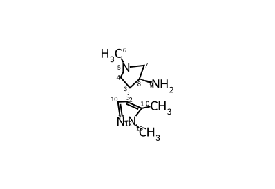 Cc1c([C@@H]2CN(C)C[C@H]2N)cnn1C